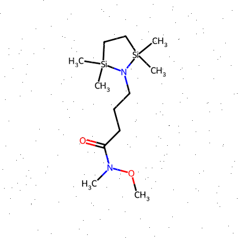 CON(C)C(=O)CCCN1[Si](C)(C)CC[Si]1(C)C